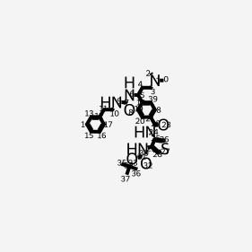 CN(C)CCC(NC(=O)NCCc1ccccc1)c1ccc(C(=O)Nc2cscc2NC(=O)OC(C)(C)C)cc1